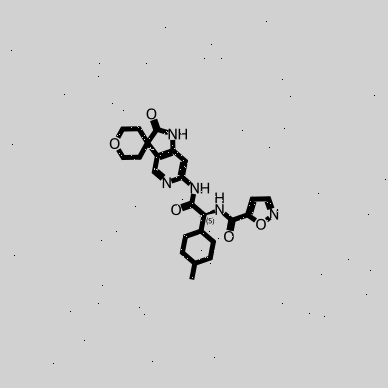 CC1CCC([C@H](NC(=O)c2ccno2)C(=O)Nc2cc3c(cn2)C2(CCOCC2)C(=O)N3)CC1